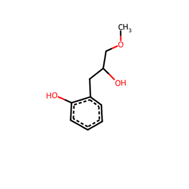 COCC(O)Cc1ccccc1O